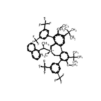 COc1c(C(C)(C)C)cc2c(c1-c1cc(C(F)(F)F)cc(C(F)(F)F)c1)C[N+](C)([C@H](C)c1cccc3ccccc13)Cc1c-2cc(C(C)(C)C)c(OC)c1-c1cc(C(F)(F)F)cc(C(F)(F)F)c1